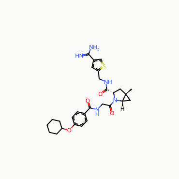 C[C@@]12C[C@@H]1N(C(=O)CNC(=O)c1ccc(OC3CCCCC3)cc1)[C@H](C(=O)NCc1cc(C(=N)N)cs1)C2